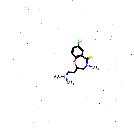 CN(C)CCC1CN(C)C(=S)c2cc(Cl)ccc2O1